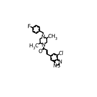 CC1CN(C(=O)C=Cc2cc(Cl)c3nsnc3c2)C(C)CN1Cc1ccc(F)cc1